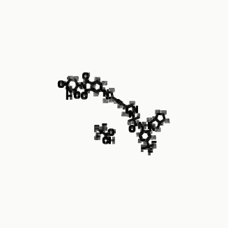 CC(C)(C(=O)Nc1ccc(C(F)(F)F)cc1N1CC2CCCC2C1)n1cc(C#CC2CN(c3ccc4c(c3)C(=O)N(C3CCC(=O)NC3=O)C4=O)C2)cn1.O=C(O)C(F)(F)F